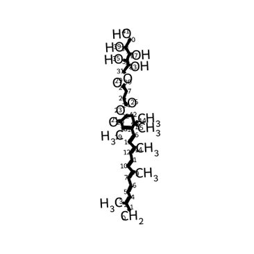 C=C/C(C)=C/C=C/C=C(C)/C=C/C=C(C)/C=C/C1=C(C)C(=O)C(OC(=O)CCC(=O)OCC(O)C(O)C(O)C(O)CO)CC1(C)C